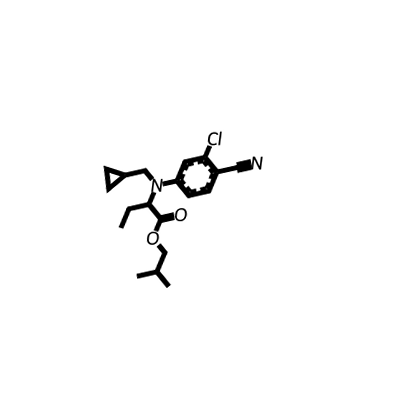 CCC(C(=O)OCC(C)C)N(CC1CC1)c1ccc(C#N)c(Cl)c1